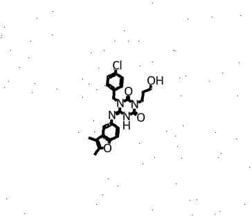 Cc1oc2ccc(/N=c3\[nH]c(=O)n(CCCO)c(=O)n3Cc3ccc(Cl)cc3)cc2c1C